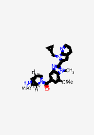 COc1cc(C(=O)N2C[C@H]3C[C@H](OC)[C@@H]2C3N)cc2nc(-c3cc4cccnc4n3CC3CC3)n(C)c12